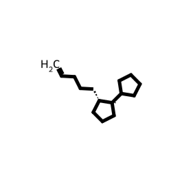 C=CCCC[C@H]1CCC[C]1C1CCCC1